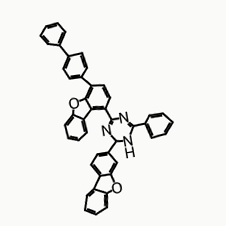 c1ccc(C2=NC(c3ccc(-c4ccc(-c5ccccc5)cc4)c4oc5ccccc5c34)=NC(c3ccc4c(c3)oc3ccccc34)N2)cc1